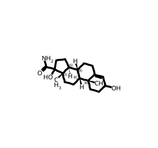 C[C@]12CCC(O)C=C1CC[C@@H]1[C@H]2CC[C@@]2(C)[C@H]1CCC2(O)C(N)=O